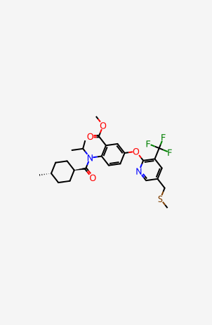 COC(=O)c1cc(Oc2ncc(CSC)cc2C(F)(F)F)ccc1N(C(=O)[C@H]1CC[C@H](C)CC1)C(C)C